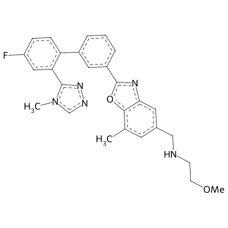 COCCNCc1cc(C)c2oc(-c3cccc(-c4ccc(F)cc4-c4nncn4C)c3)nc2c1